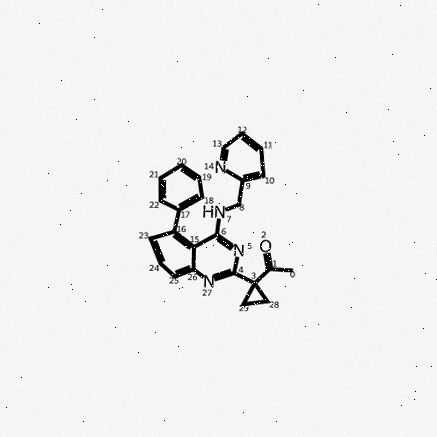 CC(=O)C1(c2nc(NCc3ccccn3)c3c(-c4ccccc4)cccc3n2)CC1